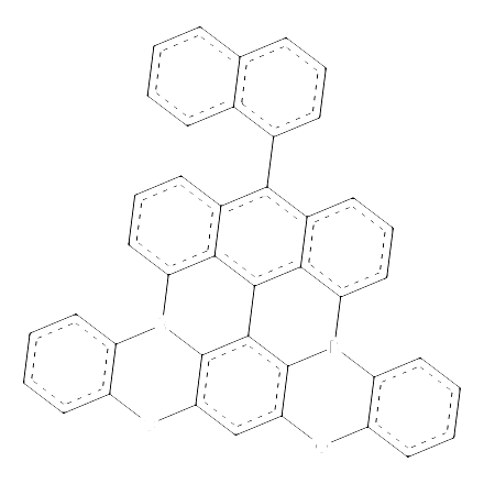 c1ccc2c(c1)Oc1cc3c4c5c1B2c1cccc2c(-c6cccc7ccccc67)c6cccc(c6c-5c12)B4c1ccccc1O3